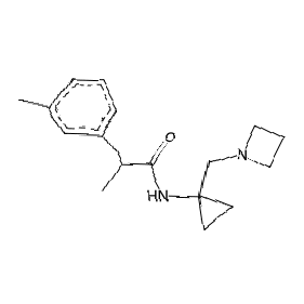 Cc1cccc(C(C)C(=O)NC2(CN3CCC3)CC2)c1